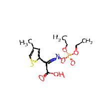 CCOP(=O)(OCC)ON=C(C(=O)O)c1cc(C)cs1